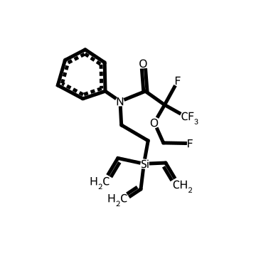 C=C[Si](C=C)(C=C)CCN(C(=O)C(F)(OCF)C(F)(F)F)c1ccccc1